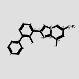 Cc1c(-c2ccccc2)cccc1-c1cn2cc(C=O)cc(C)c2n1